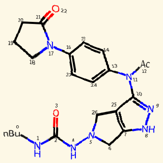 CCCCNC(=O)NN1Cc2[nH]nc(N(C(C)=O)c3ccc(N4CCCC4=O)cc3)c2C1